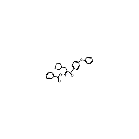 O=C(O/N=C(\CC1CCCC1)C(=O)c1ccc(Sc2ccccc2)cc1)c1ccccc1